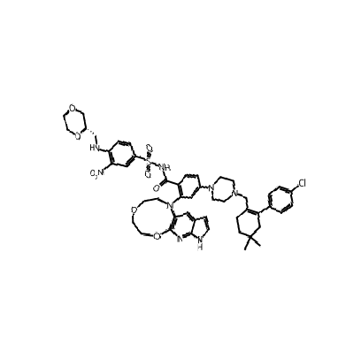 CC1(C)CCC(CN2CCN(c3ccc(C(=O)NS(=O)(=O)c4ccc(NC[C@H]5COCCO5)c([N+](=O)[O-])c4)c(N4CCOCCOc5nc6[nH]ccc6cc54)c3)CC2)=C(c2ccc(Cl)cc2)C1